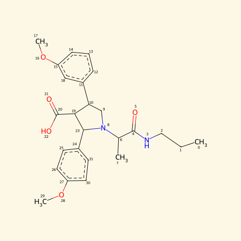 CCCNC(=O)C(C)N1CC(c2cccc(OC)c2)C(C(=O)O)C1c1ccc(OC)cc1